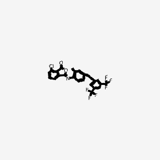 Cc1cc(Cc2cc(C(F)(F)F)cc(C(F)(F)F)c2)ccc1/N=C1\OC(=O)c2c(Cl)cccc21